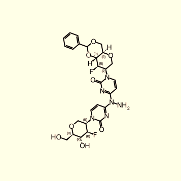 NN(c1ccn([C@@H]2CO[C@H](CO)[C@@H](O)[C@@H]2F)c(=O)n1)c1ccn([C@@H]2CO[C@@H]3COC(c4ccccc4)O[C@H]3[C@@H]2F)c(=O)n1